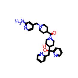 Nc1cc(CN2CCC(C(=O)N3CCC(C(O)(Cc4ccccn4)c4ccccn4)CC3)CC2)ccn1